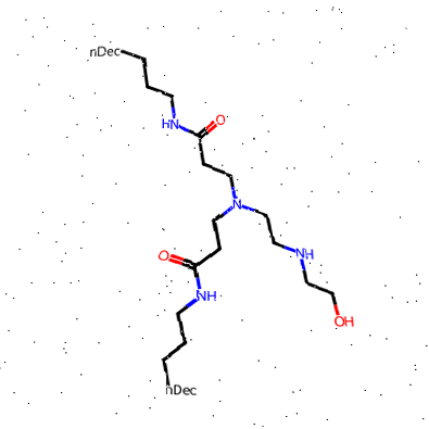 CCCCCCCCCCCCCNC(=O)CCN(CCNCCO)CCC(=O)NCCCCCCCCCCCCC